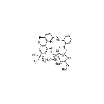 C[C@H]1CN(c2ccncc2NCc2ccc(F)c(-c3c(F)cc(C(C)(C)C#N)cc3F)n2)C[C@@H](NC(=O)OC(C)(C)C)[C@@H]1O[Si](C)(C)C(C)(C)C